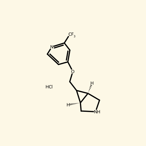 Cl.FC(F)(F)c1cc(OCC2[C@H]3CNC[C@@H]23)ccn1